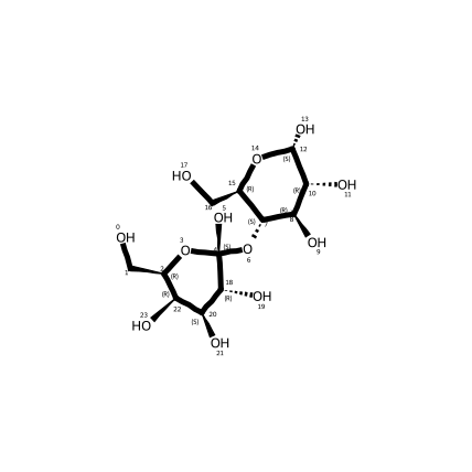 OC[C@H]1O[C@](O)(O[C@H]2[C@H](O)[C@@H](O)[C@@H](O)O[C@@H]2CO)[C@H](O)[C@@H](O)[C@H]1O